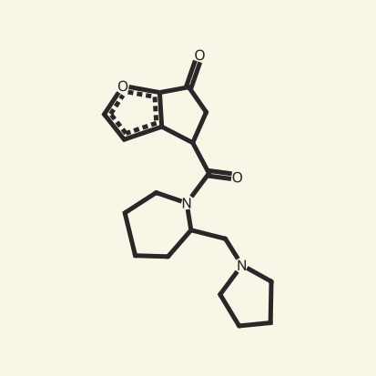 O=C1CC(C(=O)N2CCCCC2CN2CCCC2)c2ccoc21